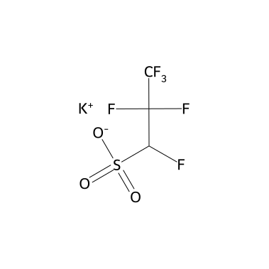 O=S(=O)([O-])C(F)C(F)(F)C(F)(F)F.[K+]